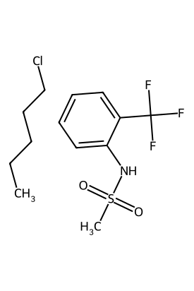 CCCCCCl.CS(=O)(=O)Nc1ccccc1C(F)(F)F